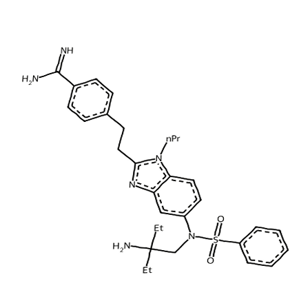 CCCn1c(CCc2ccc(C(=N)N)cc2)nc2cc(N(CC(N)(CC)CC)S(=O)(=O)c3ccccc3)ccc21